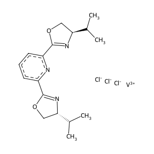 CC(C)[C@@H]1COC(c2cccc(C3=N[C@H](C(C)C)CO3)n2)=N1.[Cl-].[Cl-].[Cl-].[V+3]